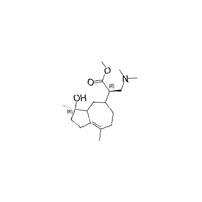 COC(=O)[C@@H](CN(C)C)C1CCC(C)=C2CC[C@@](C)(O)C2C1